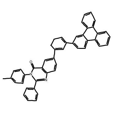 Cc1ccc(-n2c(-c3ccccc3)nc3ccc(C4=CC(c5ccc6c7ccccc7c7ccccc7c6c5)=CCC4)cc3c2=O)cc1